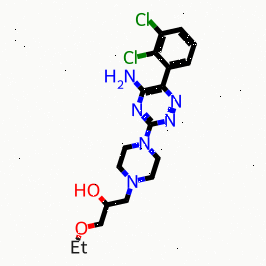 CCOCC(O)CN1CCN(c2nnc(-c3cccc(Cl)c3Cl)c(N)n2)CC1